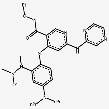 CCCN(CCC)c1ccc(Nc2cc(Nc3cnccn3)ncc2C(=O)NOCC)c(N(C)[S+](C)[O-])c1